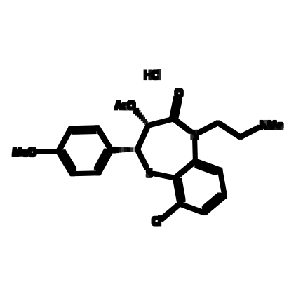 CNCCN1C(=O)[C@@H](OC(C)=O)[C@@H](c2ccc(OC)cc2)Sc2c(Cl)cccc21.Cl